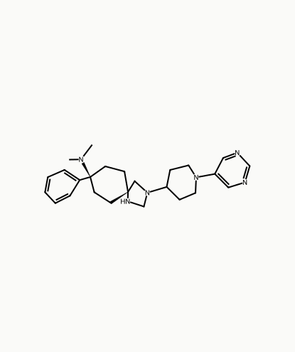 CN(C)[C@]1(c2ccccc2)CC[C@@]2(CC1)CN(C1CCN(c3cncnc3)CC1)CN2